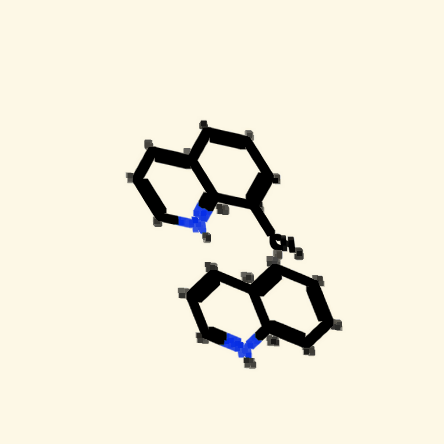 Cc1cccc2cccnc12.c1ccc2ncccc2c1